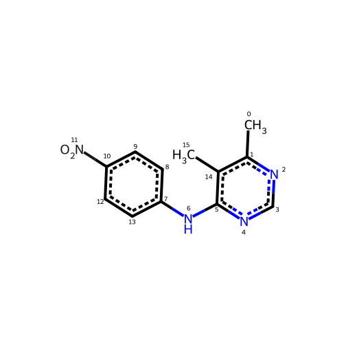 Cc1ncnc(Nc2ccc([N+](=O)[O-])cc2)c1C